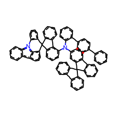 c1ccc(-c2ccc(-c3ccccc3N(c3ccc4c(c3)C3(c5ccccc5-c5ccccc53)c3ccccc3-4)c3cccc4c3-c3ccccc3C43c4ccccc4-n4c5ccccc5c5cccc3c54)cc2)cc1